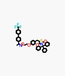 CC(=NOCCOc1ccc(CC2SC(=O)N(C(c3ccccc3)(c3ccccc3)c3ccccc3)C2=O)cc1)c1ccc(-c2ccc(C(F)(F)F)cc2)cc1